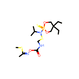 CCC1(CC)COP(=S)(N(SCNC(=O)ON=C(C)SC)C(C)C)OC1